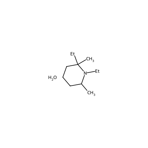 CCN1C(C)CCCC1(C)CC.O